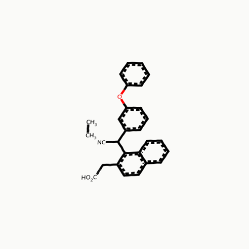 CC.N#CC(c1cccc(Oc2ccccc2)c1)c1c(CC(=O)O)ccc2ccccc12